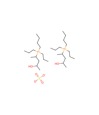 CCCC[P+](CCC)(CCC)C(C)CC(C)O.CCCC[P+](CCC)(CCC)C(C)CC(C)O.O=S(=O)([O-])[O-]